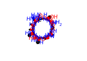 CCCCC1C(=O)N(C)C(CCCC)C(=O)NC(CCCNC(=N)N)C(=O)NC(C(=O)NCC(N)=O)C/C=C/C(=O)NC(Cc2ccc(O)cc2)C(=O)N(C)C(C)C(=O)NC(CC(N)=O)C(=O)N2CCCC2C(=O)NC(Cc2cnc[nH]2)C(=O)NC(CC(C)C)C(=O)N2CCCC2C(=O)NC(Cc2c[nH]c3ccccc23)C(=O)NC(CO)C(=O)NC(Cc2c[nH]c3ccccc23)C(=O)N1C